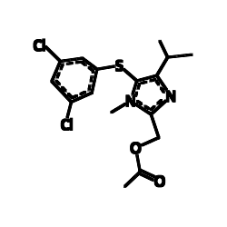 CC(=O)OCc1nc(C(C)C)c(Sc2cc(Cl)cc(Cl)c2)n1C